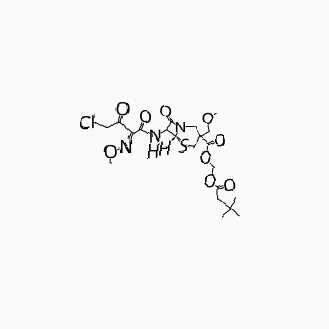 COCC1(C(=O)OCOC(=O)CC(C)(C)C)CS[C@@H]2C(NC(=O)C(=NOC)C(=O)CCl)C(=O)N2C1